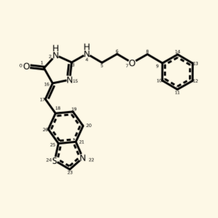 O=C1NC(NCCOCc2ccccc2)=N/C1=C\c1ccc2ncsc2c1